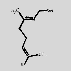 CCC(C)=CCCC(C)=CCO